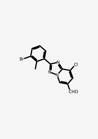 Cc1c(Br)cccc1-c1nc2c(Cl)cc(C=O)cn2n1